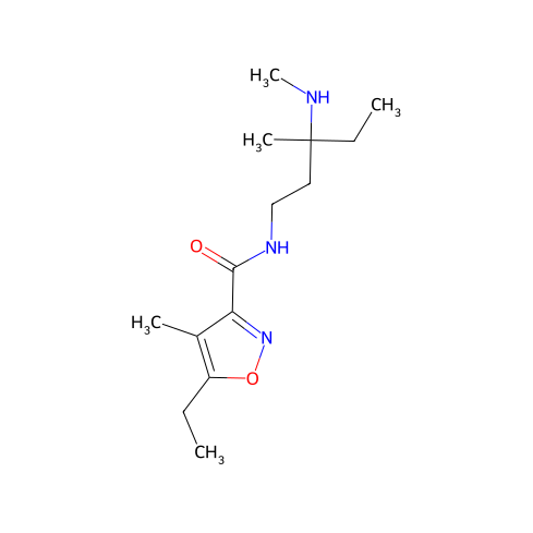 CCc1onc(C(=O)NCCC(C)(CC)NC)c1C